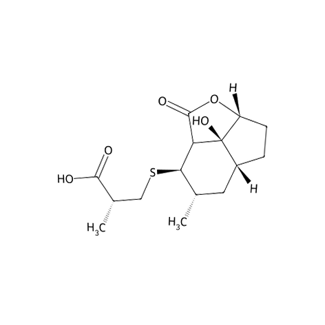 C[C@@H](CS[C@H]1C2C(=O)O[C@@H]3CC[C@H](C[C@@H]1C)[C@]23O)C(=O)O